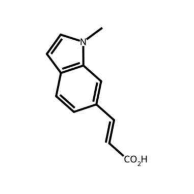 Cn1ccc2ccc(C=CC(=O)O)cc21